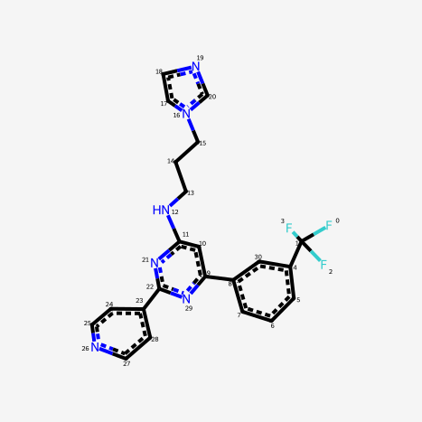 FC(F)(F)c1cccc(-c2cc(NCCCn3ccnc3)nc(-c3ccncc3)n2)c1